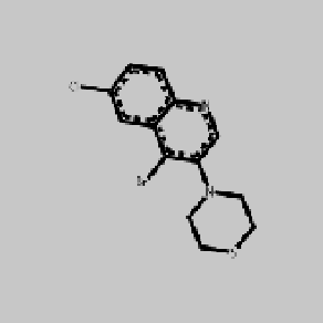 Clc1ccc2ncc(N3CCSCC3)c(Br)c2c1